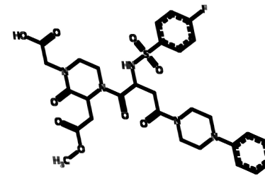 COC(=O)CC1C(=O)N(CC(=O)O)CCN1C(=O)C(CC(=O)N1CCN(c2ccncc2)CC1)NS(=O)(=O)c1ccc(F)cc1